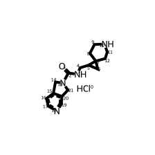 Cl.O=C(NCC1CC12CCNCC2)N1Cc2ccncc2C1